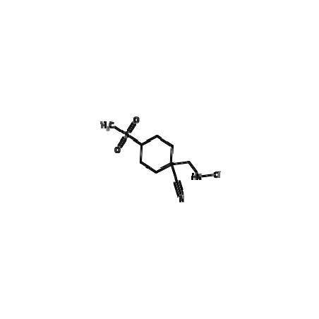 CS(=O)(=O)C1CCC(C#N)(CNCl)CC1